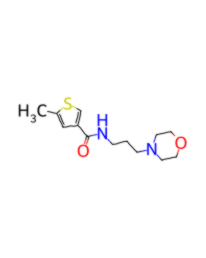 Cc1cc(C(=O)NCCCN2CCOCC2)cs1